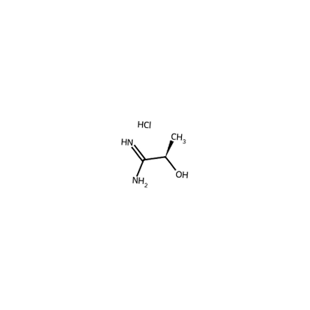 C[C@@H](O)C(=N)N.Cl